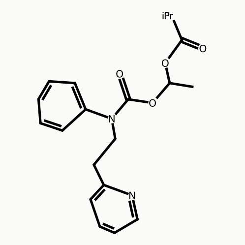 CC(OC(=O)C(C)C)OC(=O)N(CCc1ccccn1)c1ccccc1